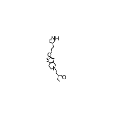 CCC(C=O)CCN1CCc2sc(OCCCC3CCNC3)cc2C1